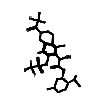 Cc1c2c(c(C)c(C(O)C(=O)O[C@@H]3C[C@H](C)CC[C@H]3C(C)C)c1OS(=O)(=O)C(F)(F)F)CCN(C(=O)C(F)(F)F)C2